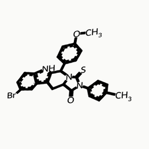 COc1ccc(C2c3[nH]c4ccc(Br)cc4c3CC3C(=O)N(c4ccc(C)cc4)C(=S)N32)cc1